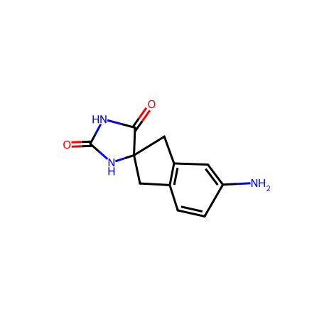 Nc1ccc2c(c1)CC1(C2)NC(=O)NC1=O